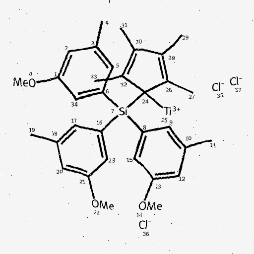 COc1cc(C)cc([Si](c2cc(C)cc(OC)c2)(c2cc(C)cc(OC)c2)[C]2([Ti+3])C(C)=C(C)C(C)=C2C)c1.[Cl-].[Cl-].[Cl-]